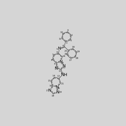 c1ccc(C(=Nc2ccc3nc(Nc4ccc5ncnn5c4)nn3c2)c2ccccc2)cc1